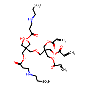 C=CC(=O)OCC(COCC(CO)(COC(=O)CCNCCS(=O)(=O)O)COC(=O)CCNCCS(=O)(=O)O)(COC(=O)C=C)COC(=O)C=C